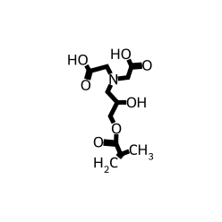 C=C(C)C(=O)OCC(O)CN(CC(=O)O)CC(=O)O